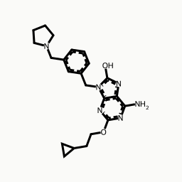 Nc1nc(OCCC2CC2)nc2c1nc(O)n2Cc1cccc(CN2CCCC2)c1